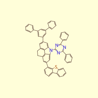 c1ccc(-c2cc(-c3ccccc3)cc(-c3cc4c5c6c(cc(-c7cccc8c7sc7ccccc78)cc6n(-c6nc(-c7ccccc7)nc(-c7ccccc7)n6)c5c3)CC4)c2)cc1